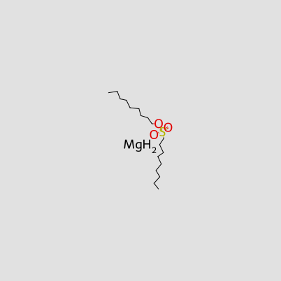 CCCCCCCCCOS(=O)(=O)CCCCCCCCC.[MgH2]